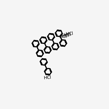 Cl.Cl.Cl.Cl.Cl.c1ccc(-c2ccccc2)cc1.c1ccc(-c2ccccc2)cc1.c1ccc(-c2ccccc2)cc1.c1ccc(-c2ccccc2)cc1.c1ccc(-c2ccccc2)cc1